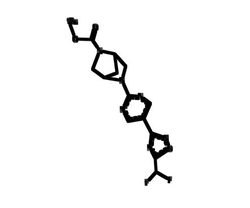 CC(C)(C)OC(=O)N1CC2CC1CN2c1ncc(-c2noc(C(F)F)n2)cn1